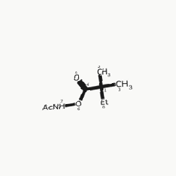 CCC(C)(C)C(=O)ONC(C)=O